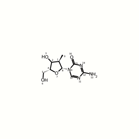 C[C@@H]1C(O)[C@@H](CO)O[C@H]1n1cnc(N)nc1=O